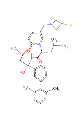 Cc1cccc(C)c1-c1cccc([C@@](O)(CC(=O)O)NC(=O)C(CC(C)C)n2cc(CN3CC(F)C3)ccc2=O)c1